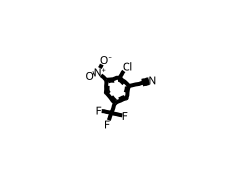 N#Cc1cc(C(F)(F)F)cc([N+](=O)[O-])c1Cl